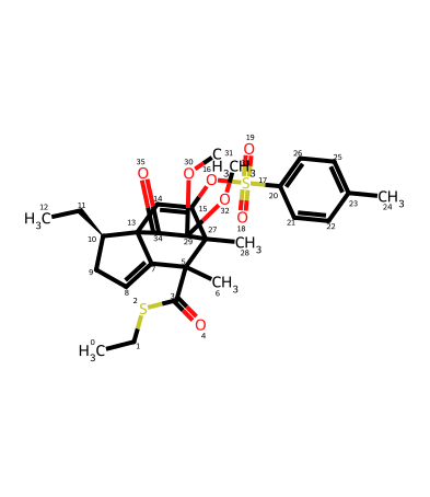 CCSC(=O)C1(C)C2=CC[C@@H](CC)C23C=C(OS(=O)(=O)c2ccc(C)cc2)C1(C)C(OC)(OC)C3=O